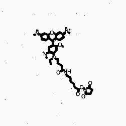 CCN(CCCC(=O)NCCCCCC(=O)ON1C(=O)CCC1=O)c1cc(OC)c(-c2c3ccc(=[N+](C)C)cc-3oc3cc(N(C)C)ccc23)cc1N(C)C